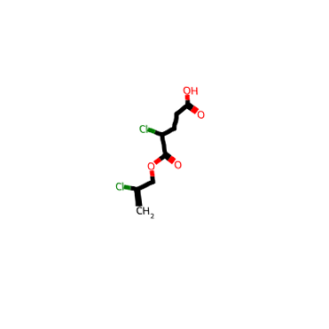 C=C(Cl)COC(=O)C(Cl)CCC(=O)O